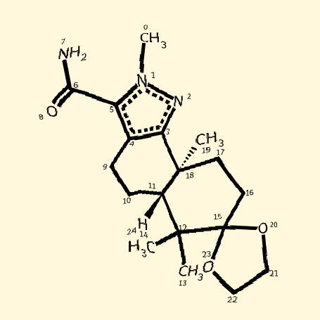 Cn1nc2c(c1C(N)=O)CC[C@H]1C(C)(C)C3(CC[C@]21C)OCCO3